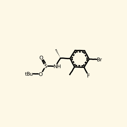 Cc1c([C@@H](C)NS(=O)OC(C)(C)C)ccc(Br)c1F